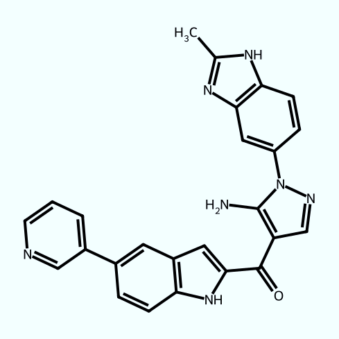 Cc1nc2cc(-n3ncc(C(=O)c4cc5cc(-c6cccnc6)ccc5[nH]4)c3N)ccc2[nH]1